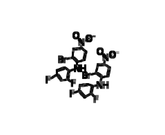 O=[N+]([O-])c1ccc(Nc2ccc(F)cc2F)c(Br)c1.O=[N+]([O-])c1ccc(Nc2ccc(F)cc2F)c(Br)c1